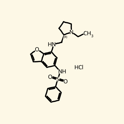 CCN1CCC[C@@H]1CNc1cc(NS(=O)(=O)c2ccccc2)cc2ccoc12.Cl